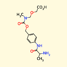 CC(N)C(=O)Nc1ccc(COC(=O)N(C)COCC(=O)O)cc1